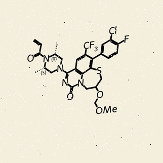 C=CC(=O)N1[C@H](C)CN(c2nc(=O)n3c4c(c(-c5ccc(F)c(Cl)c5)c(C(F)(F)F)cc24)SCC(OCOC)C3)C[C@@H]1C